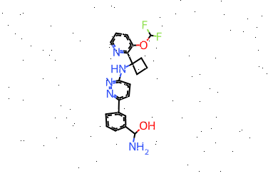 NC(O)c1cccc(-c2ccc(NC3(c4ncccc4OC(F)F)CCC3)nn2)c1